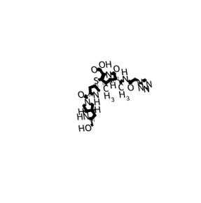 CC(NC(=O)Cn1cnnn1)[C@H]1C(=O)N2C(C(=O)O)=C(S[C@@H]3CN[C@H](C(=O)N4C[C@@H]5C[C@@H](CO)N[C@@H]5C4)C3)[C@H](C)[C@H]12